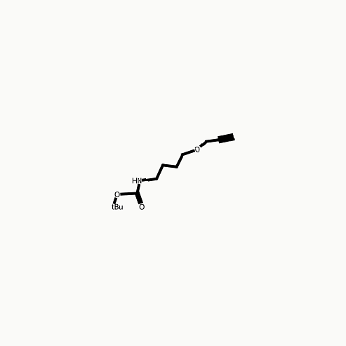 C#CCOCCCCNC(=O)OC(C)(C)C